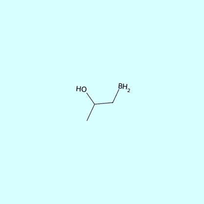 BCC(C)O